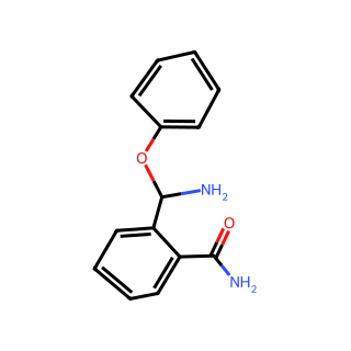 NC(=O)c1ccccc1C(N)Oc1ccccc1